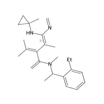 C=N/C(NC1(C)CC1)=C(\C)C(C(=C)N(C)C(C)c1ccccc1CC)=C(C)C